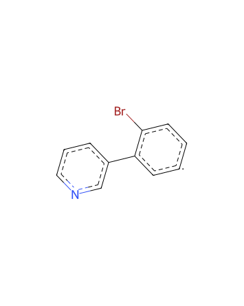 Brc1cc[c]cc1-c1cccnc1